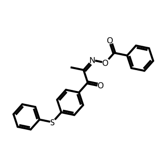 CC(=NOC(=O)c1ccccc1)C(=O)c1ccc(Sc2ccccc2)cc1